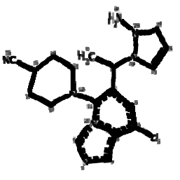 CC(c1cc(Cl)c2cncn2c1N1CCC(C#N)CC1)N1C=CCN1N